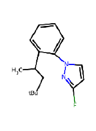 CC(CC(C)(C)C)c1ccccc1-n1ccc(F)n1